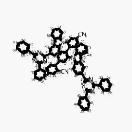 N#Cc1ccc(-c2ccc(-c3ccc(C(F)(F)F)cc3C#N)cc2-n2c3ccccc3c3cc(-c4nc(-c5ccccc5)nc(-c5ccccc5)n4)ccc32)c(-n2c3ccccc3c3cc(-c4nc(-c5ccccc5)nc(-c5ccccc5)n4)ccc32)c1